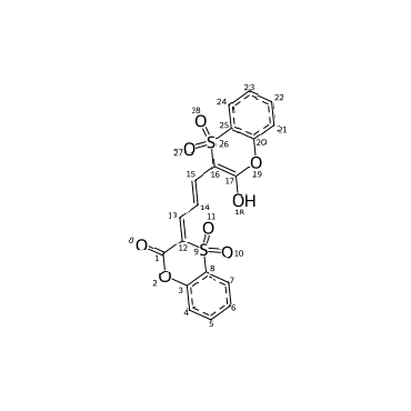 O=C1Oc2ccccc2S(=O)(=O)C1=CC=CC1=C(O)Oc2ccccc2S1(=O)=O